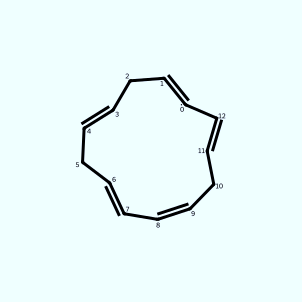 [C]1=C/C/C=C/C/C=C/C=C\C/C=C/1